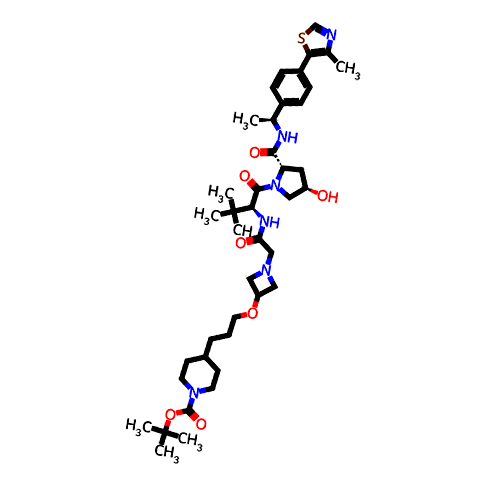 Cc1ncsc1-c1ccc([C@H](C)NC(=O)[C@@H]2C[C@@H](O)CN2C(=O)[C@@H](NC(=O)CN2CC(OCCCC3CCN(C(=O)OC(C)(C)C)CC3)C2)C(C)(C)C)cc1